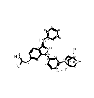 CC(C)Oc1ccc2c(Nc3cnccn3)nn(-c3ccnc(N4C[C@@H]5C[C@H]4CN5)c3)c2c1